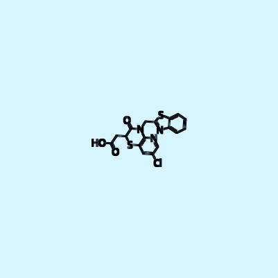 O=C(O)CC1Sc2cc(Cl)cnc2N(Cc2nc3ccccc3s2)C1=O